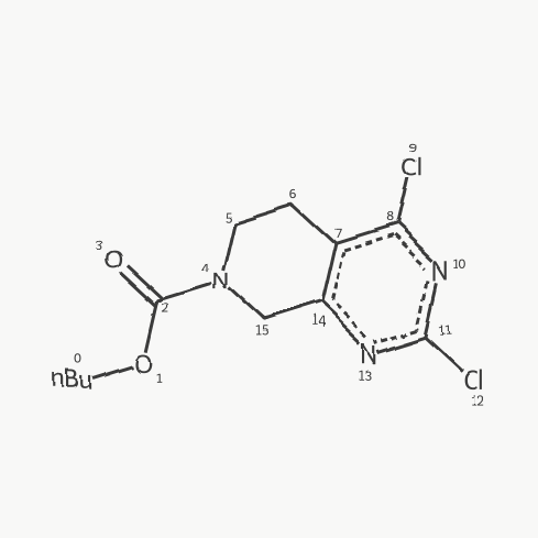 CCCCOC(=O)N1CCc2c(Cl)nc(Cl)nc2C1